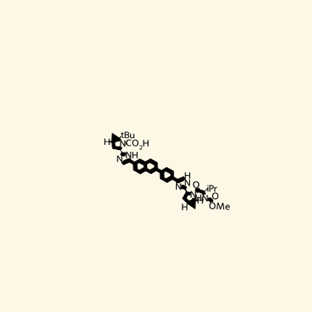 COC(=O)N[C@H](C(=O)N1[C@@H]2C[C@@H]2C[C@H]1c1nc(-c2ccc(-c3ccc4cc(-c5cnc([C@@H]6C[C@@H]7C[C@@]7(C(C)(C)C)N6C(=O)O)[nH]5)ccc4c3)cc2)c[nH]1)C(C)C